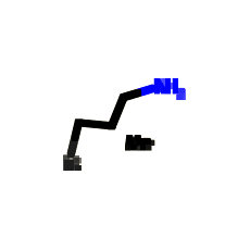 CCCCCN.[Mn]